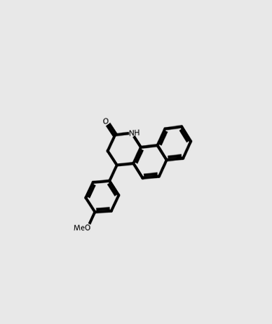 COc1ccc(C2CC(=O)Nc3c2ccc2ccccc32)cc1